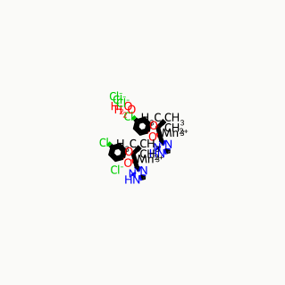 CC(C)(C)C(=O)[C]([Mn+2])(Oc1ccc(Cl)cc1)c1nc[nH]n1.CC(C)(C)C(=O)[C]([Mn+2])(Oc1ccc(Cl)cc1)c1nc[nH]n1.O.O.[Cl-].[Cl-].[Cl-].[Cl-]